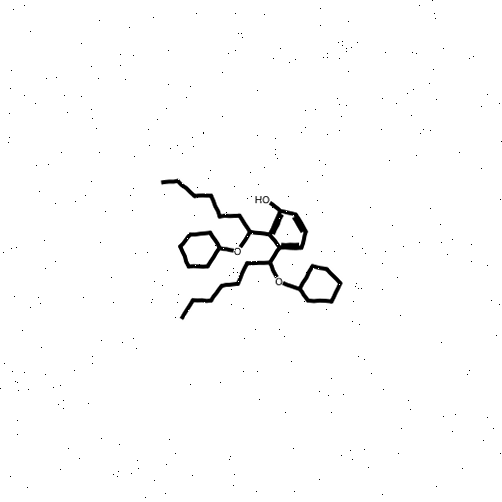 CCCCCCC(OC1CCCCC1)c1cccc(O)c1C(CCCCCC)OC1CCCCC1